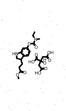 CCN(C)C(=O)Oc1ccc2c(c1)NCC2CCC(=O)OC.O=C(O)CC(O)(CC(=O)O)C(=O)O